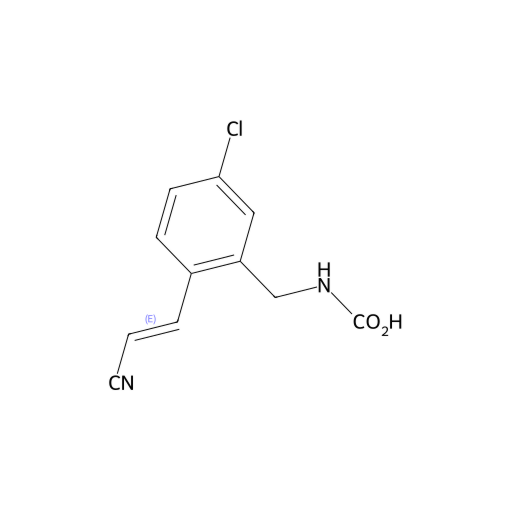 N#C/C=C/c1ccc(Cl)cc1CNC(=O)O